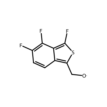 [O]Cc1sc(F)c2c(F)c(F)ccc12